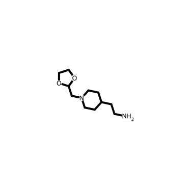 NCCC1CCN(CC2OCCO2)CC1